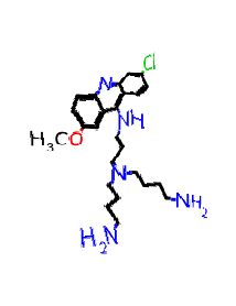 COc1ccc2nc3cc(Cl)ccc3c(NCCCN(CCCCN)CCCCN)c2c1